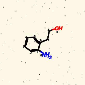 Nc1ccccc1CCO